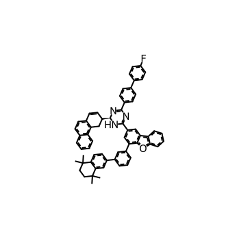 CC1(C)CCC(C)(C)c2cc(-c3cccc(-c4cc(C5=NC(c6ccc(-c7ccc(F)cc7)cc6)=N[C@H](C6C=Cc7ccc8ccccc8c7C6)N5)cc5c4oc4ccccc45)c3)ccc21